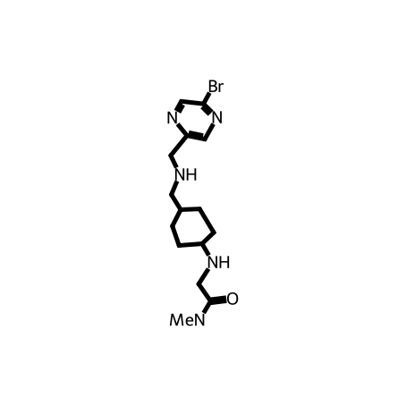 CNC(=O)CNC1CCC(CNCc2cnc(Br)cn2)CC1